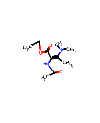 CCOC(=O)C(NC(C)=O)=C(C)N(C)C